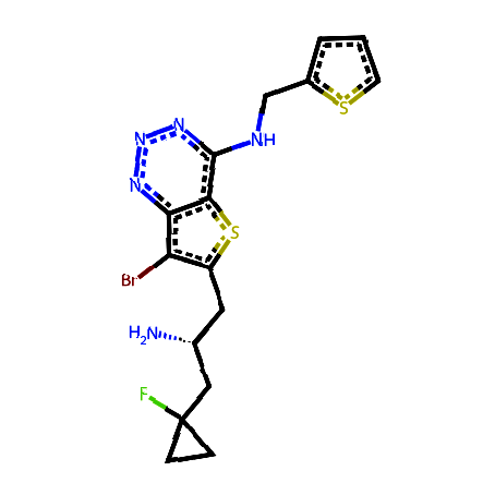 N[C@H](Cc1sc2c(NCc3cccs3)nnnc2c1Br)CC1(F)CC1